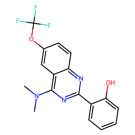 CN(C)c1nc(-c2ccccc2O)nc2ccc(OC(F)(F)F)cc12